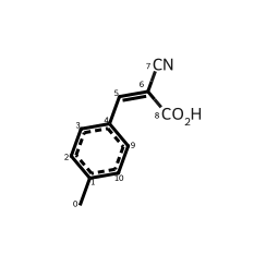 Cc1ccc(C=C(C#N)C(=O)O)cc1